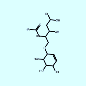 CCCC(=S)NC(COC1C=CC(O)C(O)C1O)C(O)CC(O)CC